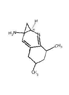 CC1CC2=CC3(N)C[C@H]3N=C2C(C)C1